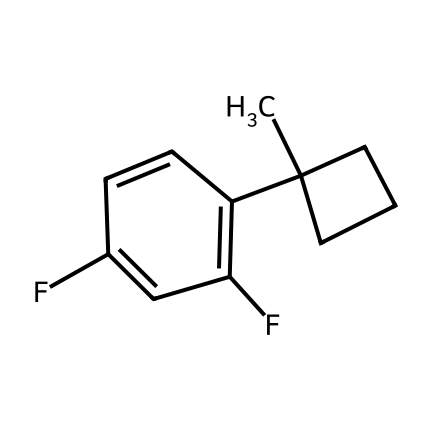 CC1(c2ccc(F)cc2F)CCC1